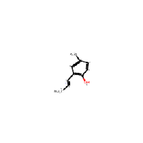 CC(=O)Oc1ccc(O)c(/C=C/C(=O)O)c1